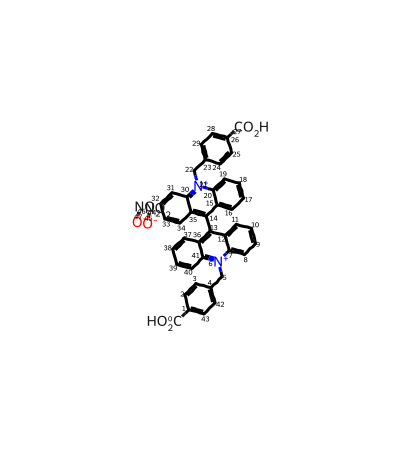 O=C(O)c1ccc(C[n+]2c3ccccc3c(-c3c4ccccc4[n+](Cc4ccc(C(=O)O)cc4)c4ccccc34)c3ccccc32)cc1.O=[N+]([O-])[O-].O=[N+]([O-])[O-]